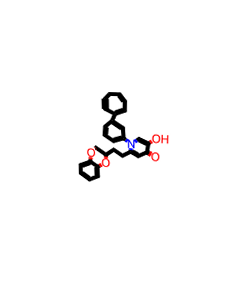 O=c1cc(CCC2COc3ccccc3O2)n(-c2cccc(C3=CC=CCC#C3)c2)cc1O